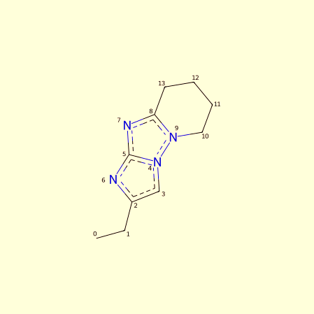 CCc1cn2c(n1)nc1n2CCCC1